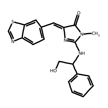 CN1C(=O)/C(=C/c2ccc3ncsc3c2)N=C1NC(CO)c1ccccc1